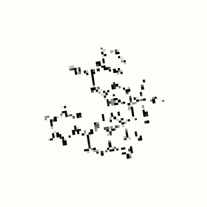 CC(C)(CC(O)(Cn1ccc(=O)c2sccc21)C(F)(F)F)c1cc(-c2cncnc2)ccc1O